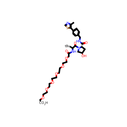 Cc1ncsc1-c1ccc(CNC(=O)[C@@H]2C[C@@H](O)CN2C(=O)C(NC(=O)COCCOCCOCCOCCOCCOCC(=O)O)C(C)(C)C)cc1